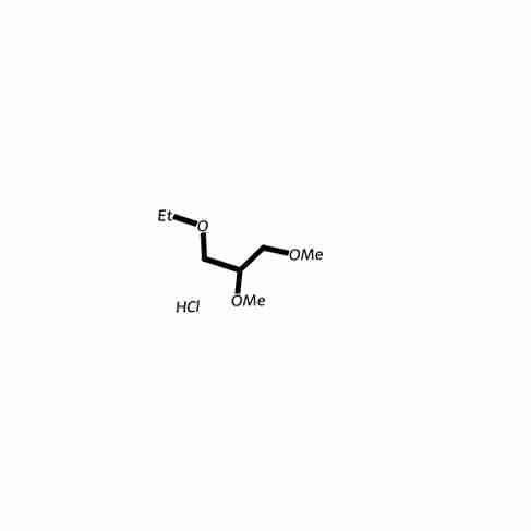 Cl.[CH2]COCC(COC)OC